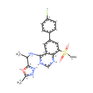 CNS(=O)(=O)c1cc(-c2ccc(F)cc2)cc2c(NC(C)c3nnc(C)o3)ncnc12